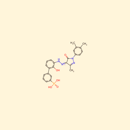 CC1=NN(c2ccc(C)c(C)c2)C(=O)/C1=N\Nc1cccc(-c2cccc(P(=O)(O)O)c2)c1O